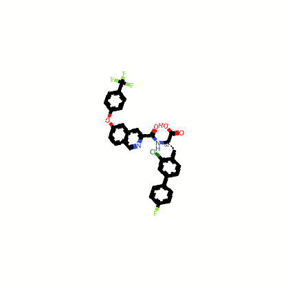 O=C(N[C@@H](Cc1ccc(-c2ccc(F)cc2)cc1Cl)C(=O)O)c1cc2cc(Oc3ccc(C(F)(F)F)cc3)ccc2cn1